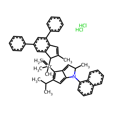 CC1=Cc2c(-c3ccccc3)cc(-c3ccccc3)cc2[CH]1[Zr]([CH3])([CH3])(=[SiH2])[C]1=C(C(C)C)C=C2C1=CC(C)N2c1cccc2ccccc12.Cl.Cl